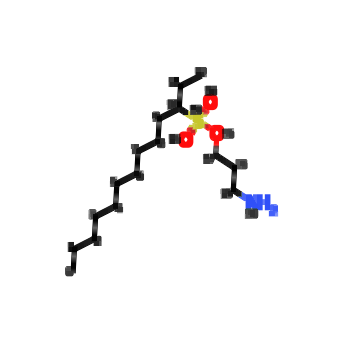 CCCCCCCCCCC(CC)S(=O)(=O)OCCCN